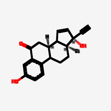 C#C[C@]1(O)C=CC2[C@@H]3CC(=O)c4cc(O)ccc4C3CC[C@@]21CC